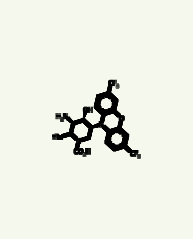 CC(C)(C)C1[C@@H](N)[C@H](O)[C@@H](N2c3ccc(C(F)(F)F)cc3Oc3cc(C(F)(F)F)ccc32)CN1C(=O)O